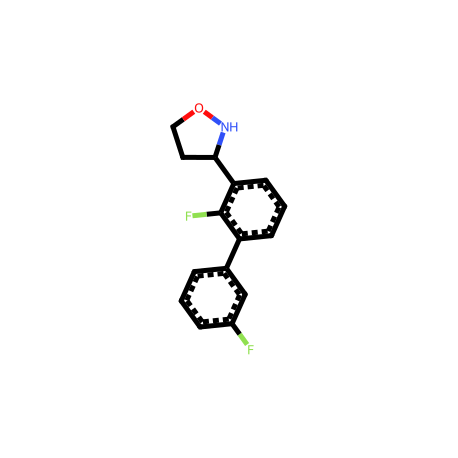 Fc1cccc(-c2cccc(C3CCON3)c2F)c1